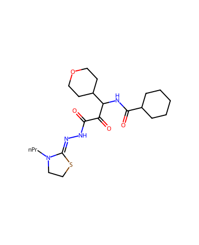 CCCN1CCS/C1=N\NC(=O)C(=O)C(NC(=O)C1CCCCC1)C1CCOCC1